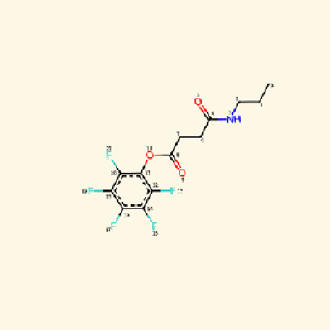 CCCNC(=O)CCC(=O)Oc1c(F)c(F)c(F)c(F)c1F